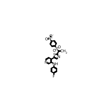 C=C(c1ncc(-c2ccncc2Nc2ccc(F)cc2)s1)S(=O)(=O)c1ccc([N+](=O)[O-])cc1